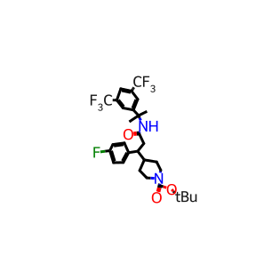 CC(C)(C)OC(=O)N1CCC(C(CC(=O)NC(C)(C)c2cc(C(F)(F)F)cc(C(F)(F)F)c2)c2ccc(F)cc2)CC1